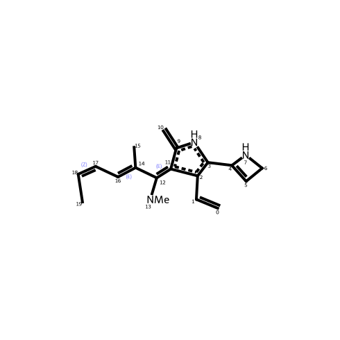 C=Cc1c(C2=CCN2)[nH]c(=C)\c1=C(NC)/C(C)=C/C=C\C